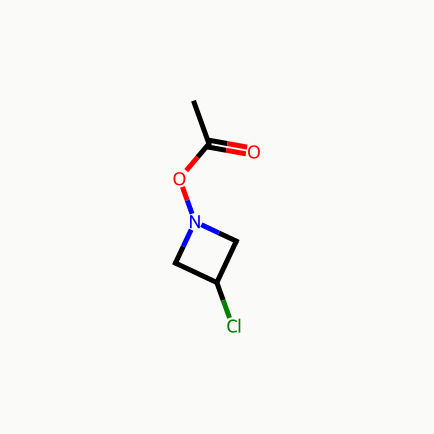 CC(=O)ON1CC(Cl)C1